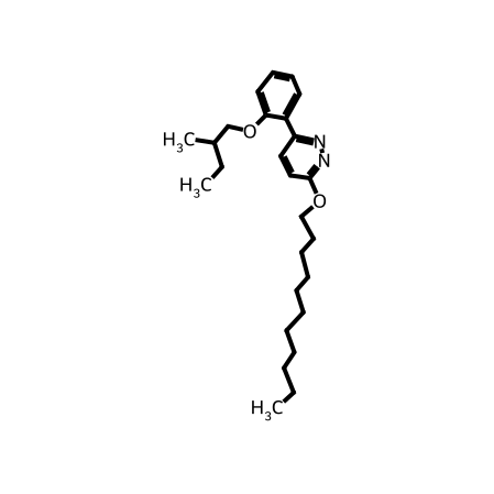 CCCCCCCCCCCOc1ccc(-c2ccccc2OCC(C)CC)nn1